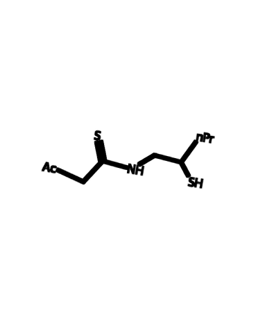 CCCC(S)CNC(=S)CC(C)=O